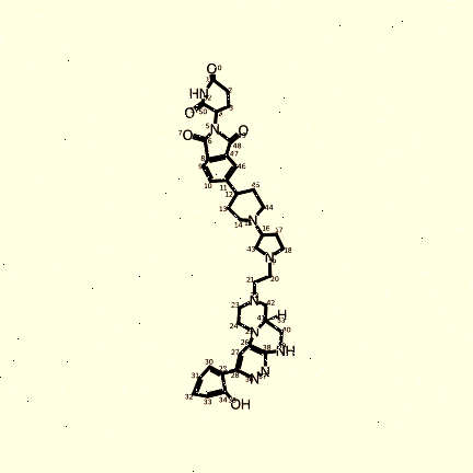 O=C1CCC(N2C(=O)c3ccc(C4CCN(C5CCN(CCN6CCN7c8cc(-c9ccccc9O)nnc8NC[C@H]7C6)C5)CC4)cc3C2=O)C(=O)N1